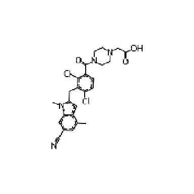 Cc1cc(C#N)cc2c1cc(Cc1c(Cl)ccc(C(=O)N3CCN(CC(=O)O)CC3)c1Cl)n2C